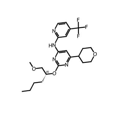 CCCC[C@H](COC)Oc1nc(Nc2cc(C(F)(F)F)ccn2)cc(C2CCOCC2)n1